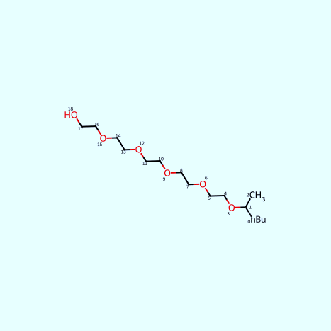 CCCCC(C)OCCOCCOCCOCCOCCO